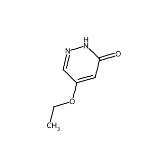 CCOc1cn[nH]c(=O)c1